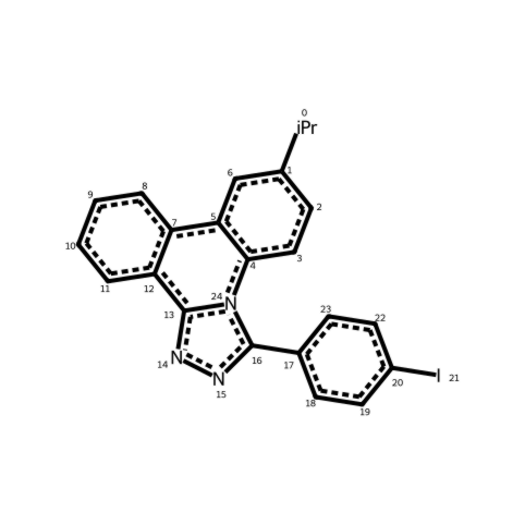 CC(C)c1ccc2c(c1)c1ccccc1c1nnc(-c3ccc(I)cc3)n21